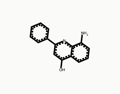 Nc1cccc2c(O)cc(-c3ccccc3)nc12